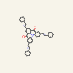 O=c1c2cc(/C=C/c3ccccc3)ccc2n2c3ccc(/C=C/c4ccccc4)cc3c(=O)c3cc(/C=C/c4ccccc4)cc1c32